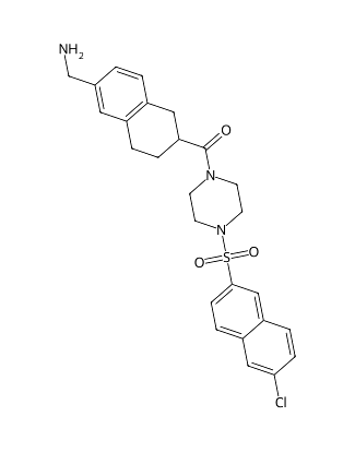 NCc1ccc2c(c1)CCC(C(=O)N1CCN(S(=O)(=O)c3ccc4cc(Cl)ccc4c3)CC1)C2